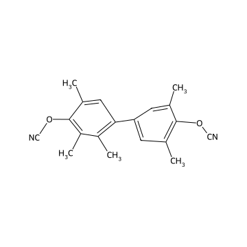 Cc1cc(-c2cc(C)c(OC#N)c(C)c2C)cc(C)c1OC#N